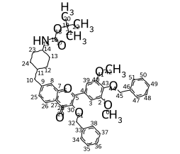 COc1cc(-c2oc3cc(CC4CCC(NC(=O)OC(C)(C)C)CC4)ccc3c(=O)c2OCc2ccccc2)cc(OC)c1OCc1ccccc1